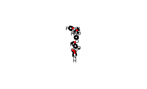 COc1cc2c(Oc3ccc(NC(=O)C4(C(=O)Nc5ccc(F)cc5)CC4)cc3)ccnc2cc1OC(=O)N1C2CNCC1C(C)C2